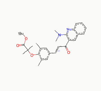 Cc1cc(/C=C/C(=O)c2cc3ccccc3nc2N(C)C)cc(C)c1OC(C)(C)C(=O)OC(C)(C)C